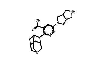 O=C(O)c1cc(N2CC3CNCC3C2)cnc1C1C2CC3CC1CN(C3)C2